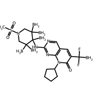 BC(F)(F)c1cc2cnc(NC3(B)C(B)(B)CN(S(C)(=O)=O)CC3(B)B)nc2n(C2CCCC2)c1=O